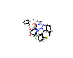 C[C@@H](N1CN([C@H]2c3ccccc3SCc3cccc(N(C)C)c32)n2cc(Cl)c(=O)c(OCc3ccccc3)c2C1=O)C(F)(F)F